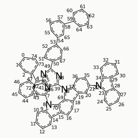 c1ccc(-c2ccc(-n3c4ccccc4c4ccc5c6cc(-n7c8ccccc8c8ccccc87)ccc6n(-c6nc(-c7ccccc7)nc(-c7ccc(-c8cccc(-c9ccccc9)c8)cc7)n6)c5c43)cc2)cc1